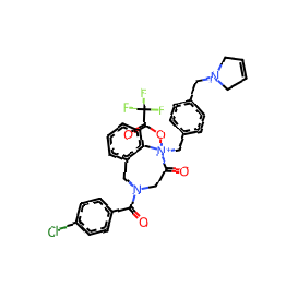 O=C(c1ccc(Cl)cc1)N1CC(=O)[N+](Cc2ccc(CN3CC=CC3)cc2)(OC(=O)C(F)(F)F)c2ccccc2C1